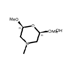 CO[C@H]1CN(C)C[C@@H](OC)O1.Cl